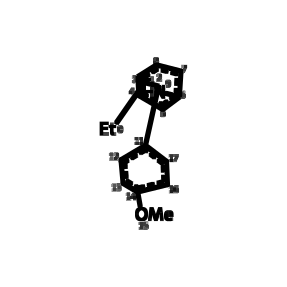 CCC1Cc2ccc(cc2)NC1c1ccc(OC)cc1